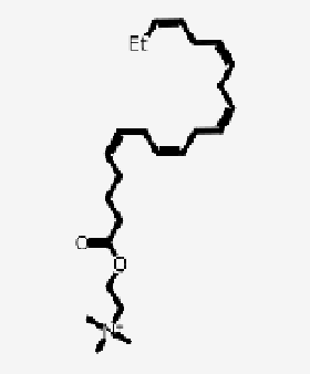 CC/C=C\C/C=C\C/C=C\C/C=C\C/C=C\CCCC(=O)OCC[N+](C)(C)C